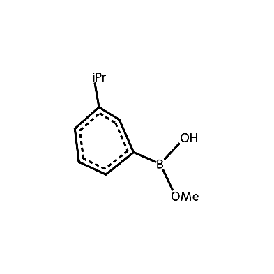 COB(O)c1cccc(C(C)C)c1